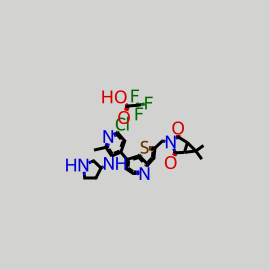 Cc1nc(Cl)cc(-c2ccnc3cc(CN4C(=O)C5C(C4=O)C5(C)C)sc23)c1NC1CCNC1.O=C(O)C(F)(F)F